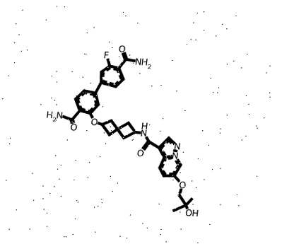 CC(C)(O)COc1ccc2c(C(=O)NC3CC4(C3)CC(Oc3cc(-c5ccc(C(N)=O)c(F)c5)ccc3C(N)=O)C4)cnn2c1